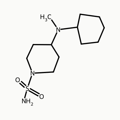 CN(C1CCCCC1)C1CCN(S(N)(=O)=O)CC1